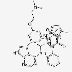 Cc1ccn2nc([C@H](C)Nc3ncnc4[nH]cc(-c5cc(NS(C)(=O)=O)cc(OCCN(C)C)c5)c34)n(-c3ccccc3)c(=O)c12